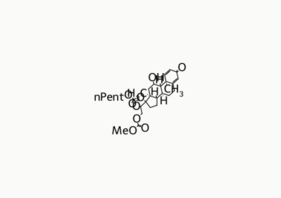 CCCCCOC(=O)O[C@]1(C(=O)COC(=O)OC)CC[C@H]2[C@@H]3CCC4=CC(=O)C=C[C@]4(C)[C@H]3C(O)C[C@@]21C